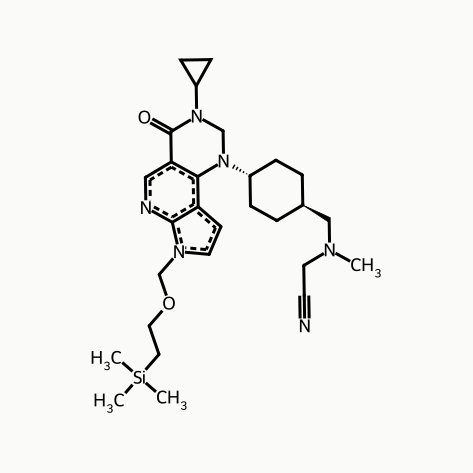 CN(CC#N)C[C@H]1CC[C@H](N2CN(C3CC3)C(=O)c3cnc4c(ccn4COCC[Si](C)(C)C)c32)CC1